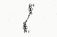 O=S(=O)(c1ccc(O)cc1)c1ccc(OCCCCCCCCCCCCOc2ccc(S(=O)(=O)c3ccc(O)cc3)cc2)cc1